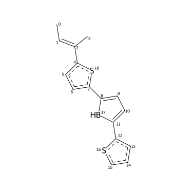 C/C=C(\C)c1ccc(C2=CC=C(c3cccs3)B2)s1